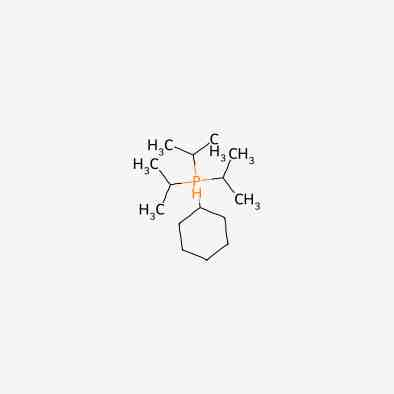 CC(C)[PH](C(C)C)(C(C)C)C1CCCCC1